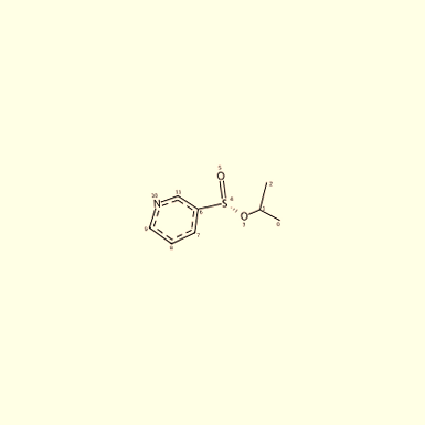 CC(C)O[S@@](=O)c1cccnc1